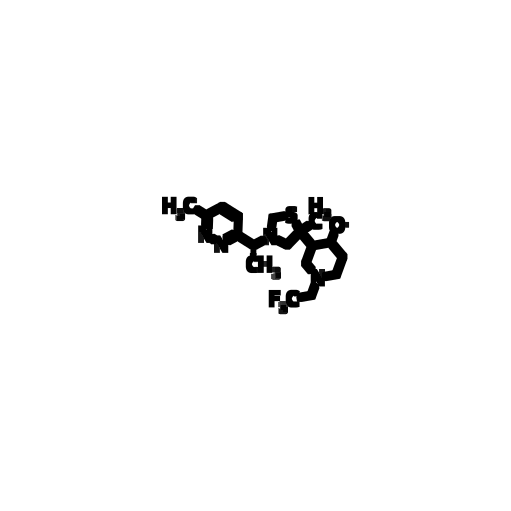 Cc1ccc([C@@H](C)N2CSC(C)(C3CN(CC(F)(F)F)CCC3[O])C2)nn1